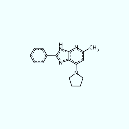 Cc1cc(N2CCCC2)c2nc(-c3ccccc3)[nH]c2n1